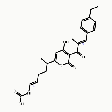 CCc1ccc(/C=C(\C)C(=O)c2c(O)cc(C(C)CC/C=C/NC(=O)O)oc2=O)cc1